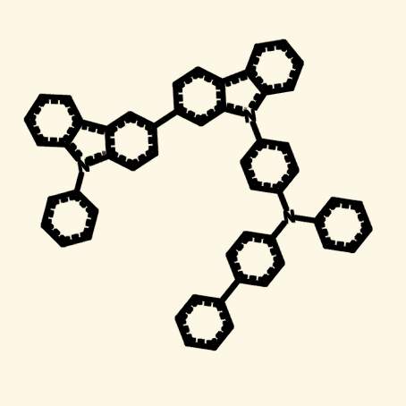 c1ccc(-c2ccc(N(c3ccccc3)c3ccc(-n4c5ccccc5c5ccc(-c6ccc7c(c6)c6ccccc6n7-c6ccccc6)cc54)cc3)cc2)cc1